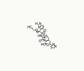 C#CCON=C(C(=O)NC1C(=O)N2C(C(=O)O)=C(CSc3nncs3)CS[C@@H]12)c1nc(N)sc1Cl